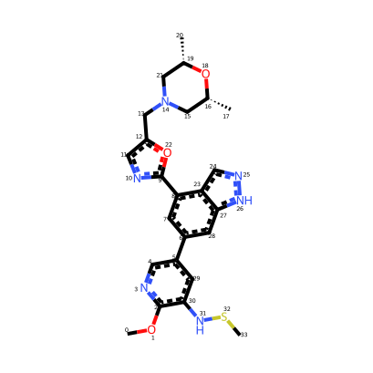 COc1ncc(-c2cc(-c3ncc(CN4C[C@@H](C)O[C@@H](C)C4)o3)c3cn[nH]c3c2)cc1NSC